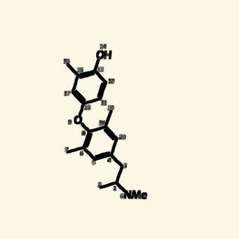 CNC(C)Cc1cc(C)c(Oc2ccc(O)c(C)c2)c(C)c1